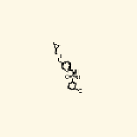 O=S(=O)(Nc1ccc(COCC2CC2)cn1)c1cccc(Cl)c1